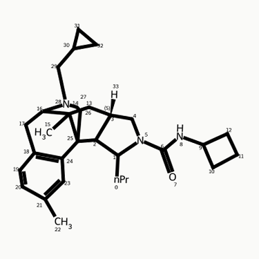 CCCC1C2[C@@H](CN1C(=O)NC1CCC1)CC1(C)C3Cc4ccc(C)cc4C21CCN3CC1CC1